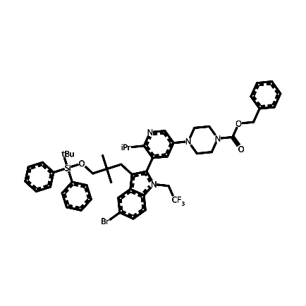 CC(C)c1ncc(N2CCN(C(=O)OCc3ccccc3)CC2)cc1-c1c(CC(C)(C)CO[Si](c2ccccc2)(c2ccccc2)C(C)(C)C)c2cc(Br)ccc2n1CC(F)(F)F